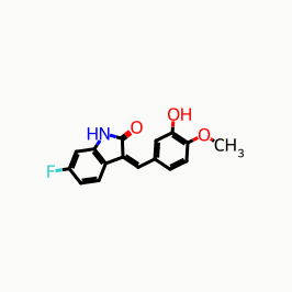 COc1ccc(C=C2C(=O)Nc3cc(F)ccc32)cc1O